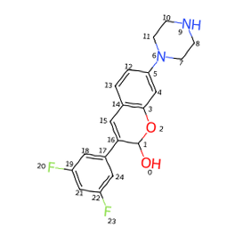 OC1Oc2cc(N3CCNCC3)ccc2C=C1c1cc(F)cc(F)c1